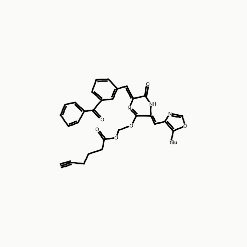 C#CCCCC(=O)OCOc1n/c(=C\c2cccc(C(=O)c3ccccc3)c2)c(=O)[nH]/c1=C\c1ncoc1C(C)(C)C